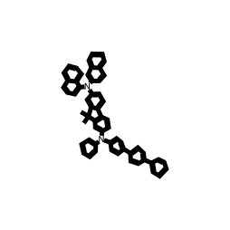 CC1(C)c2cc(N(c3ccccc3)c3ccc(-c4ccc(-c5ccccc5)cc4)cc3)ccc2-c2ccc(N(c3ccc4ccccc4c3)c3cccc4ccccc34)cc21